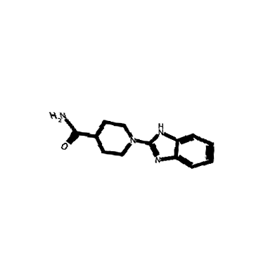 NC(=O)C1CCN(c2nc3ccccc3[nH]2)CC1